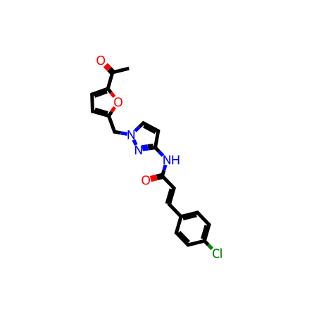 CC(=O)c1ccc(Cn2ccc(NC(=O)C=Cc3ccc(Cl)cc3)n2)o1